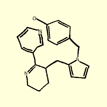 Clc1ccc(Cn2cccc2CC2CCCN=C2c2cccnc2)cc1